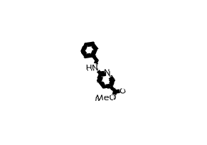 COC(=O)c1ccc(NCc2ccccc2)nc1